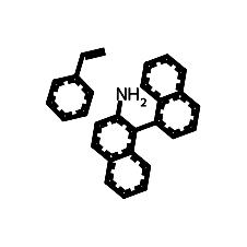 C=Cc1ccccc1.Nc1ccc2ccccc2c1-c1cccc2ccccc12